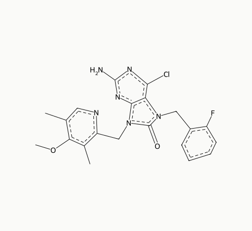 COc1c(C)cnc(Cn2c(=O)n(Cc3ccccc3F)c3c(Cl)nc(N)nc32)c1C